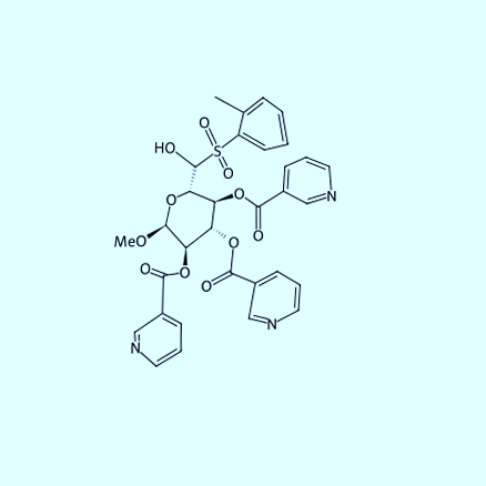 CO[C@H]1O[C@H](C(O)S(=O)(=O)c2ccccc2C)[C@@H](OC(=O)c2cccnc2)[C@H](OC(=O)c2cccnc2)[C@H]1OC(=O)c1cccnc1